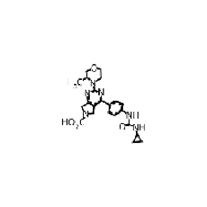 CC1COCCN1c1nc2c(c(-c3ccc(NC(=O)NC4CC4)cc3)n1)CN(C(=O)O)C2